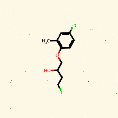 Cc1cc(Cl)ccc1OCC(O)CCCl